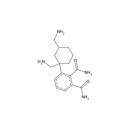 NCC1CCCC(CN)(c2cccc(C(N)=O)c2C(N)=O)C1